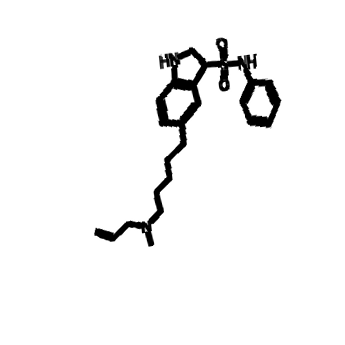 C=CCN(C)CCCCCc1ccc2c(c1)C(S(=O)(=O)Nc1ccccc1)CN2